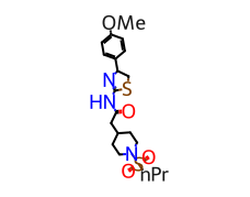 CCCS(=O)(=O)N1CCC(CC(=O)NC2=NC(c3ccc(OC)cc3)CS2)CC1